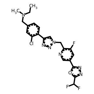 CCN(C)Cc1ccc(-c2cn(Cc3ncc(-c4nnc(C(F)F)o4)cc3F)nn2)c(Cl)c1